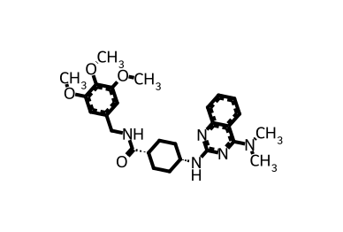 COc1cc(CNC(=O)[C@H]2CC[C@@H](Nc3nc(N(C)C)c4ccccc4n3)CC2)cc(OC)c1OC